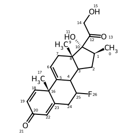 C[C@H]1CC2C3C(=CC[C@]2(C)[C@@]1(O)C(=O)CO)[C@@]1(C)C=CC(=O)C=C1CC3F